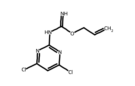 C=CCOC(=N)Nc1nc(Cl)cc(Cl)n1